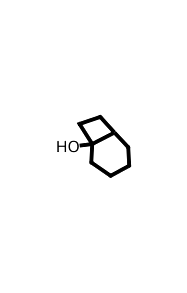 OC12CCCCC1CC2